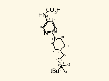 CC(C)(C)[Si](C)(C)OCC1CCN(c2ncc(NC(=O)O)cn2)CC1